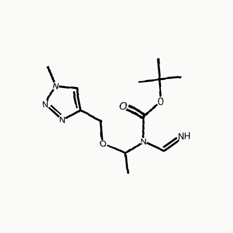 CC(OCc1cn(C)nn1)N(C=N)C(=O)OC(C)(C)C